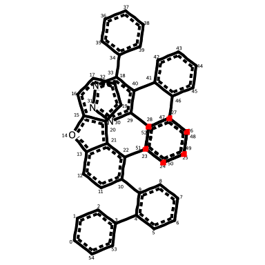 c1ccc(-c2ccccc2-c2ccc3oc4ccccc4c3c2-c2ccccc2-c2nnnc(-c3ccccc3)c2-c2ccccc2-c2ccccc2)cc1